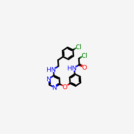 O=C(CCl)Nc1cccc(Oc2cc(NCCc3ccc(Cl)cc3)ncn2)c1